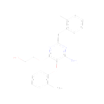 COc1ccccc1Oc1c(N)nc(Cc2ccccc2C)nc1OCCO